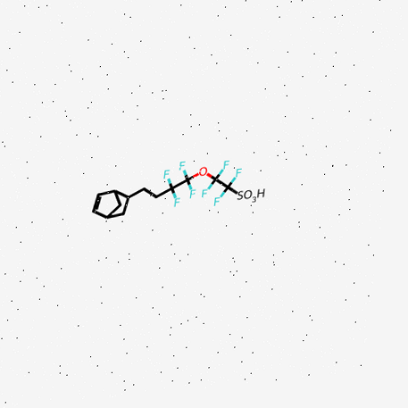 O=S(=O)(O)C(F)(F)C(F)(F)OC(F)(F)C(F)(F)CCC1CC2C=CC1C2